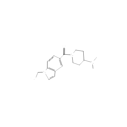 CN(C)C1CCN(C(=O)c2ccc3c(ccn3CC(F)(F)F)c2)CC1